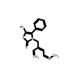 C=C/C(=C\C=N/C)Cn1c(-c2ccccc2)c(C(C)C)sc1=S